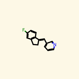 Fc1ccc2c(c1)CC/C2=C\c1cccnc1